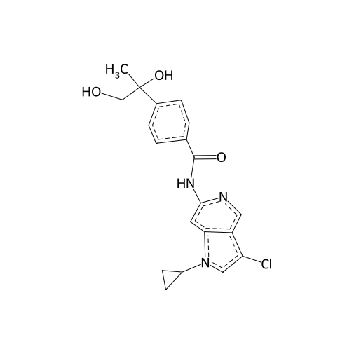 CC(O)(CO)c1ccc(C(=O)Nc2cc3c(cn2)c(Cl)cn3C2CC2)cc1